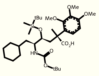 COc1ccc([C@@](C)(C[C@H](O[Si](C)(C)C(C)(C)C)[C@H](CC2CCCCC2)NC(=O)OC(C)(C)C)C(=O)O)c(OC)c1OC